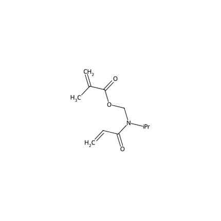 C=CC(=O)N(COC(=O)C(=C)C)C(C)C